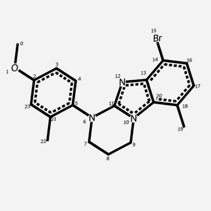 COc1ccc(N2CCCn3c2nc2c(Br)ccc(C)c23)c(C)c1